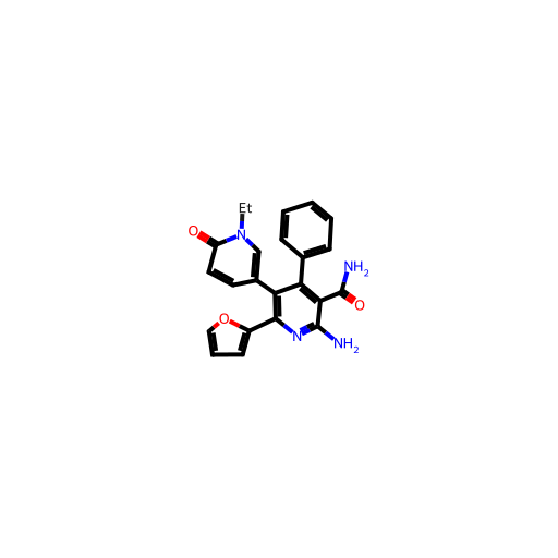 CCn1cc(-c2c(-c3ccco3)nc(N)c(C(N)=O)c2-c2ccccc2)ccc1=O